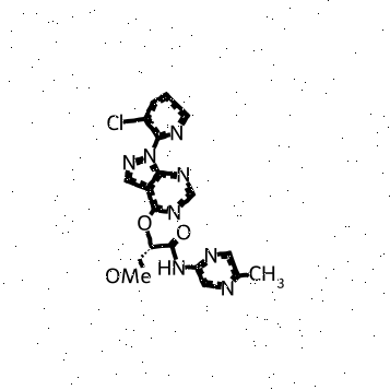 COC[C@H](Oc1ncnc2c1cnn2-c1ncccc1Cl)C(=O)Nc1cnc(C)cn1